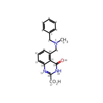 CN(Cc1ccccc1)Cc1cccc2nc(C(=O)O)[nH]c(=O)c12